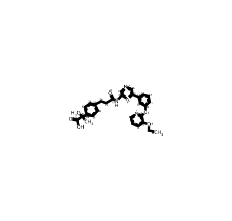 CCOc1cccnc1Oc1cccc(-c2cncc(NC(=O)CCc3ccc(C(C)(C)C(=O)O)cc3)n2)c1